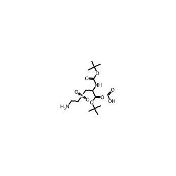 CC(C)(C)OC(=O)NC(CS(=O)(=O)CCN)C(=O)OC(C)(C)C.O=CO